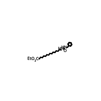 CCOC(=O)CCCCCCCCCCCCCCCNC(=O)NCc1ccccc1